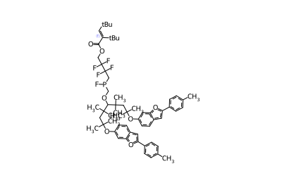 Cc1ccc(-c2cc3ccc(OC(C)(C)CC(C)(C)C(OCP(F)CC(F)(F)C(F)(F)COC(=O)/C(=C/C(C)(C)C)C(C)(C)C)C(C)(C)CC(C)(C)Oc4ccc5cc(-c6ccc(C)cc6)oc5c4)cc3o2)cc1